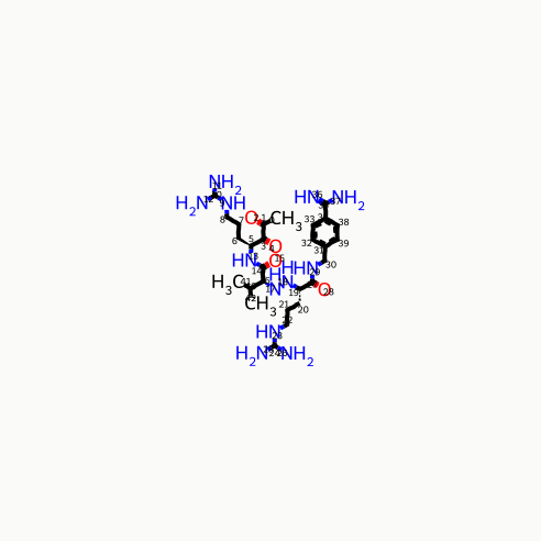 CC(=O)C(=O)[C@H](CCCNC(N)N)NC(=O)[C@@H](NN[C@@H](CCCNC(N)N)C(=O)NCc1ccc(C(=N)N)cc1)C(C)C